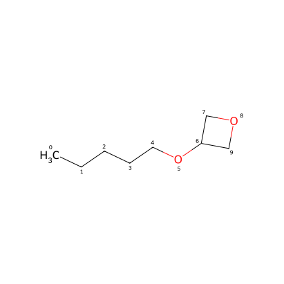 CCCCCOC1COC1